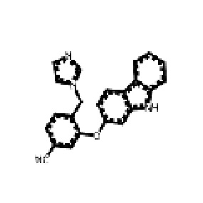 N#Cc1ccc(Cn2ccnc2)c(Oc2ccc3c(c2)[nH]c2ccccc23)c1